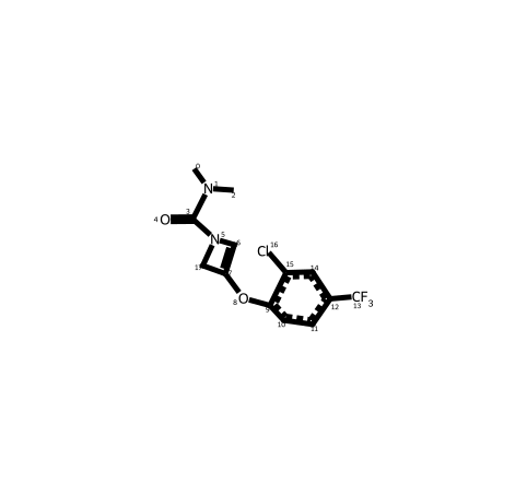 CN(C)C(=O)N1C=C(Oc2ccc(C(F)(F)F)cc2Cl)C1